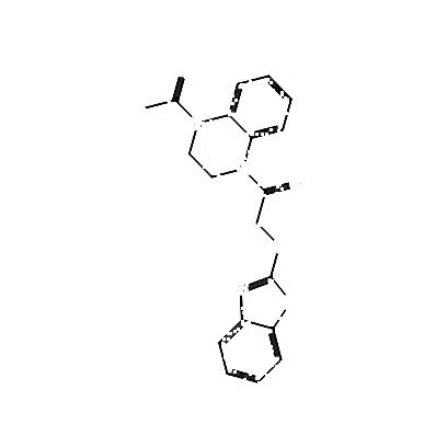 CC(=O)N1CCN(C(=O)CSc2nc3ccccc3s2)c2ccccc21